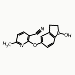 Cc1ccc(C#N)c(Oc2ccc3c(c2)CCB3O)n1